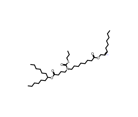 CCCCCC/C=C\COC(=O)CCCCCCCN(CCCC(=O)OC(CCCCCC)CCCCCC)C(=O)SCCC